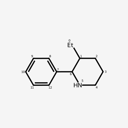 [CH2]CC1CCCNC1c1ccccc1